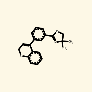 CC1(C)COC(c2cccc(C3=CCOc4ccccc43)c2)=N1